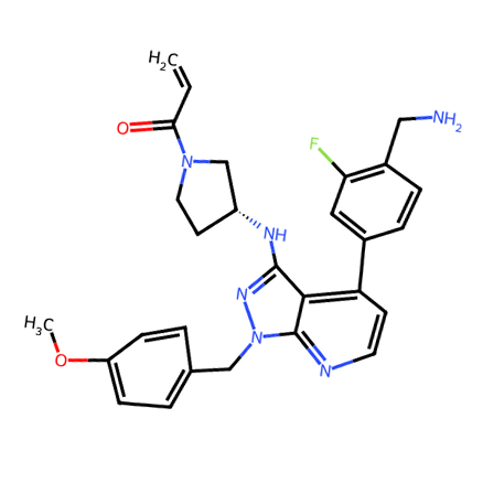 C=CC(=O)N1CC[C@@H](Nc2nn(Cc3ccc(OC)cc3)c3nccc(-c4ccc(CN)c(F)c4)c23)C1